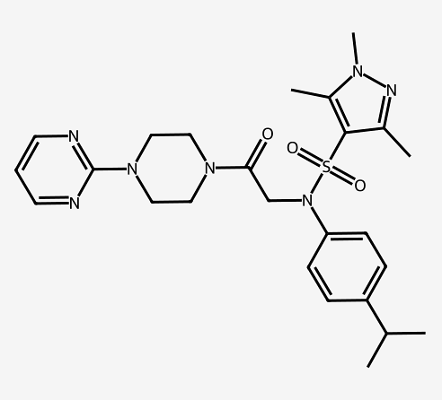 Cc1nn(C)c(C)c1S(=O)(=O)N(CC(=O)N1CCN(c2ncccn2)CC1)c1ccc(C(C)C)cc1